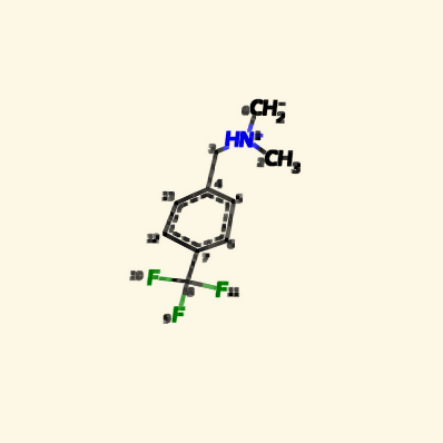 [CH2-][NH+](C)Cc1ccc(C(F)(F)F)cc1